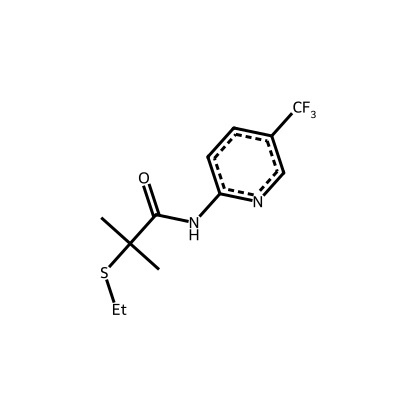 CCSC(C)(C)C(=O)Nc1ccc(C(F)(F)F)cn1